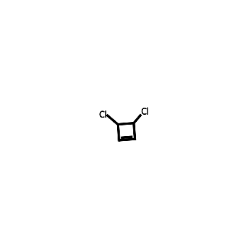 ClC1C=CC1Cl